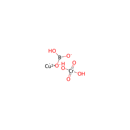 [Cu+2].[O-]B([O-])O.[O]=[Cr](=[O])([OH])[OH]